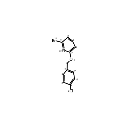 Clc1ccc(COc2cccc(Br)n2)cc1